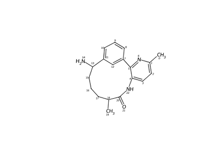 Cc1ccc2c(n1)-c1cccc(c1)C(N)CCCC(C)C(=O)N2